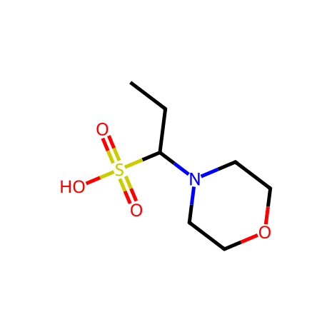 CCC(N1CCOCC1)S(=O)(=O)O